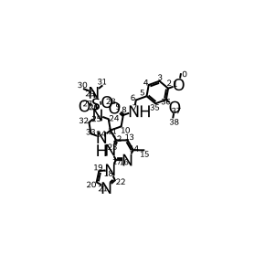 COc1ccc(CNC(=O)CC2(c3cc(C)nc(-n4ccnc4)n3)CN(S(=O)(=O)N(C)C)CCN2)cc1OC